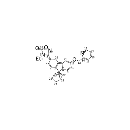 CCn1c(-c2ccc(C3(c4ccc(OCc5ccccn5)cc4)CC4CCC3C4)cc2)noc1=O